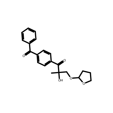 CC(O)(COC1CCCO1)C(=O)c1ccc(C(=O)c2ccccc2)cc1